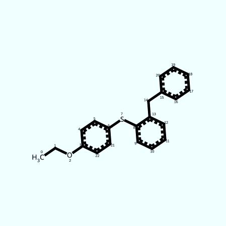 CCOc1ccc(Sc2ccccc2Cc2ccccc2)cc1